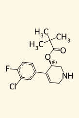 CC(C)(C)C(=O)O[C@H]1CNCC=C1c1ccc(F)c(Cl)c1